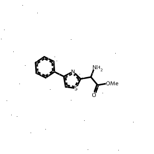 COC(=O)C(N)c1nc(-c2ccccc2)cs1